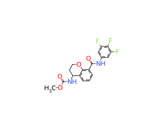 COC(=O)N[C@H]1CCOc2c(C(=O)Nc3cc(F)c(F)c(F)c3)cccc21